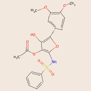 COc1ccc(-c2oc(NS(=O)(=O)c3ccccc3)c(OC(C)=O)c2O)cc1OC